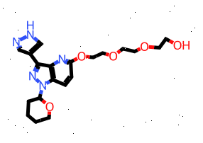 OCCOCCOCCOc1ccc2c(n1)c(-c1cn[nH]c1)nn2C1CCCCO1